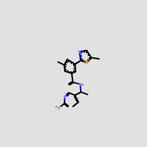 C=C(NC(C)C(/C=N\C(=C)C(F)(F)F)=C/C)c1cc(C)cc(-c2ncc(C)s2)c1